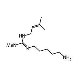 CNC(=NCCCCCN)NCC=C(C)C